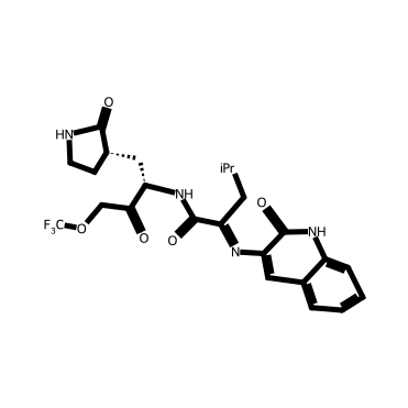 CC(C)C/C(=N\c1cc2ccccc2[nH]c1=O)C(=O)N[C@@H](C[C@@H]1CCNC1=O)C(=O)COC(F)(F)F